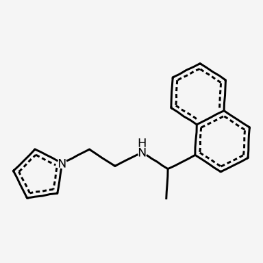 CC(NCCn1cccc1)c1cccc2ccccc12